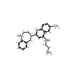 Cc1ccc2nc(N3CCNc4ccccc4C3)cc(NCCN)c2c1